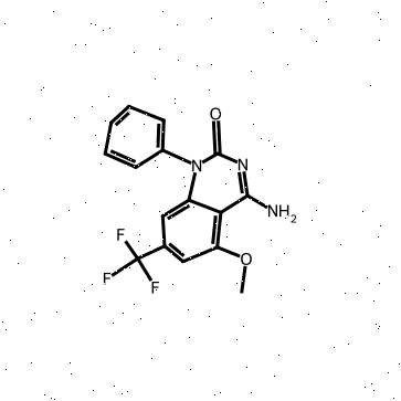 COc1cc(C(F)(F)F)cc2c1c(N)nc(=O)n2-c1ccccc1